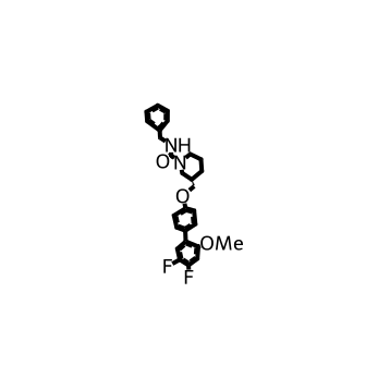 COc1cc(F)c(F)cc1-c1ccc(OC[C@H]2CCCN(C(=O)NCc3ccccc3)C2)cc1